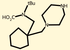 CC(C)(C)N(CC1(CN2CCNCC2)CCCCC1)C(=O)O